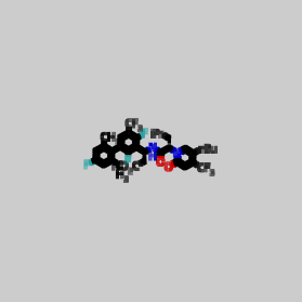 CCCCc1cn([C@@H](CC(C)C)C(=O)N[C@@H](CC(=O)O)c2c(F)c(-c3c(C)cc(F)cc3C)cc(C(F)(F)F)c2F)c(=O)cc1C(F)(F)F